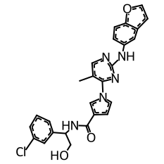 Cc1cnc(Nc2ccc3occc3c2)nc1-n1ccc(C(=O)NC(CO)c2cccc(Cl)c2)c1